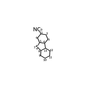 N#CC1CCC2C(C1)SC1CCCCC12